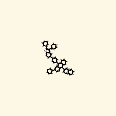 c1ccc(-c2ccc3c(-c4ccc5ccccc5c4)c4ccccc4c(-c4ccc(-c5ccc6oc(-c7ccccc7)c(-c7ccccc7)c6c5)cc4)c3c2)cc1